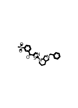 CS(=O)(=O)c1cccc(C(=O)c2cnc(N3CCCC4CN(Cc5ccccc5)CC43)s2)c1